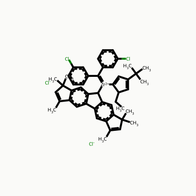 CCC1C=C(C(C)(C)C)C=[C]1[Zr+2](=[C](c1cccc(Cl)c1)c1cccc(Cl)c1)[CH]1c2cc3c(cc2-c2cc4c(cc21)C(C)(C)C=C4C)C(C)=CC3(C)C.[Cl-].[Cl-]